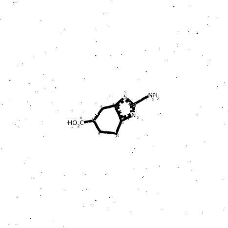 Nc1nc2c(s1)CC(C(=O)O)CC2